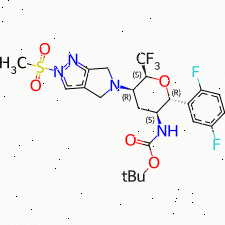 CC(C)(C)OC(=O)N[C@H]1C[C@@H](N2Cc3cn(S(C)(=O)=O)nc3C2)[C@@H](C(F)(F)F)O[C@@H]1c1cc(F)ccc1F